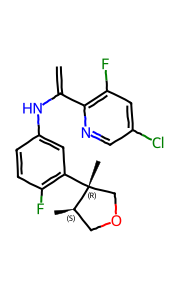 C=C(Nc1ccc(F)c([C@]2(C)COC[C@H]2C)c1)c1ncc(Cl)cc1F